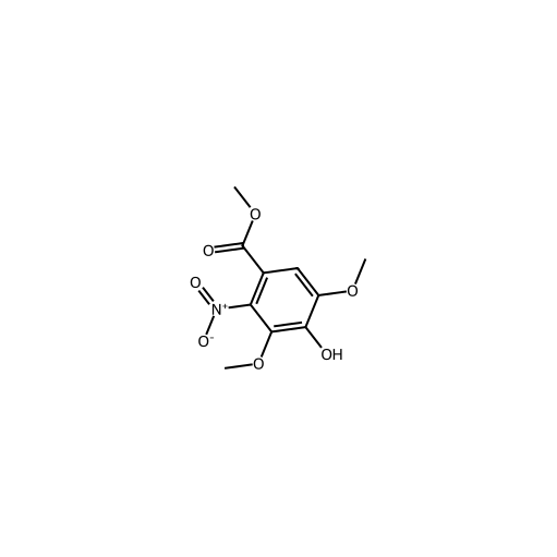 COC(=O)c1cc(OC)c(O)c(OC)c1[N+](=O)[O-]